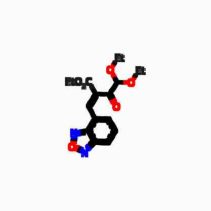 CCOC(=O)C(=Cc1cccc2nonc12)C(=O)C(OCC)OCC